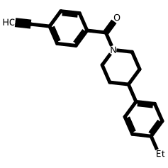 C#Cc1ccc(C(=O)N2CCC(c3ccc(CC)cc3)CC2)cc1